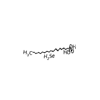 CCCCCCCCCCCCCCCCCCP(=O)(O)O.[SeH2]